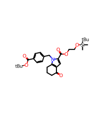 CC(C)(C)OC(=O)c1ccc(Cn2c(C(=O)OCCO[Si](C)(C)C(C)(C)C)cc3c2CCCC3=O)cc1